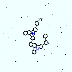 CC(C)c1ccc(-c2ccc3c(c2)c2cc4ccccc4c4c5cc(-c6cccc7c6cc6c8cc(-c9cccc(-c%10ccccc%10)c9)ccc8n8c9ccccc9c7c68)ccc5n3c24)cc1